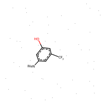 CNc1cc(O)cc(C(F)(F)F)c1